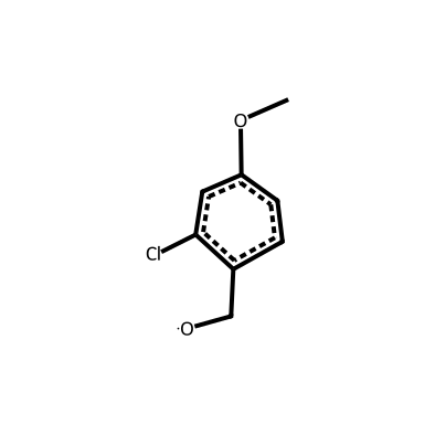 COc1ccc(C[O])c(Cl)c1